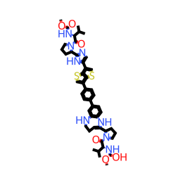 COC(=O)N[C@H](C(=O)N1CCCC1c1ncc(-c2csc3c(-c4ccc(-c5ccc6c(c5)NCC/C=C(\C5CCCN5C(=O)[C@H](NC(O)OC)C(C)C)N6)cc4)csc23)[nH]1)C(C)C